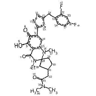 CCN1C(=O)c2c(O)c(=O)c(-c3nnc(Cc4ccc(F)cc4F)s3)cn2N(C)C12CCC(CC(=O)N(C)C)C2